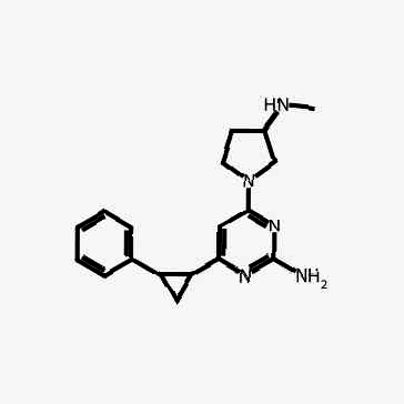 CNC1CCN(c2cc(C3CC3c3ccccc3)nc(N)n2)C1